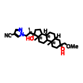 COC[C@@]1(O)CC[C@]2(C)C3CC[C@@]4(C)C(CC[C@]4(O)[C@@H](C)Cn4cc(C#N)cn4)[C@@H]3CC[C@@H]2C1